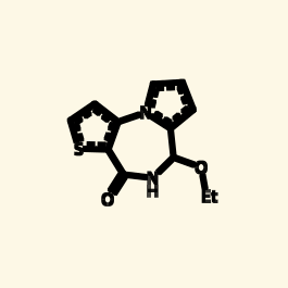 CCOC1NC(=O)c2sccc2-n2cccc21